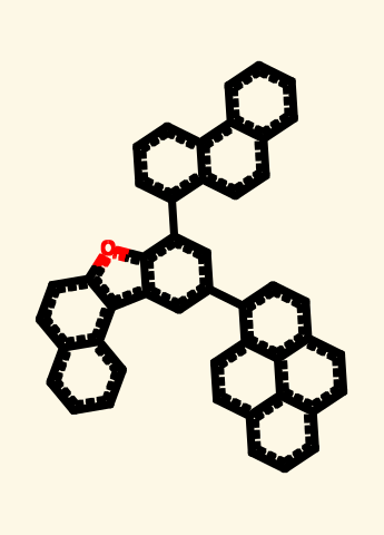 c1ccc2c(c1)ccc1c(-c3cc(-c4ccc5ccc6cccc7ccc4c5c67)cc4c3oc3ccc5ccccc5c34)cccc12